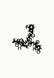 C=CC1C[C@]1(NC(=O)[C@@H]1CC(OC(=O)N2Cc3cccc(F)c3C2)CN1C(=O)CNC(=O)[C@H]1CCC(=O)O1)C(=O)NS(=O)(=O)C1CC1